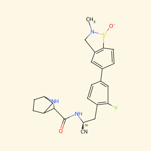 CN1Cc2cc(-c3ccc(C[C@@H](C#N)NC(=O)C4NC5CCC4C5)c(F)c3)ccc2[S+]1[O-]